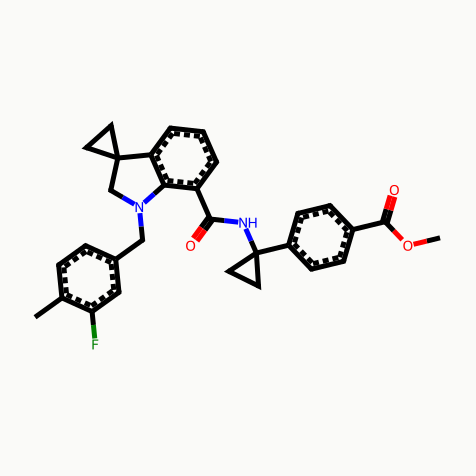 COC(=O)c1ccc(C2(NC(=O)c3cccc4c3N(Cc3ccc(C)c(F)c3)CC43CC3)CC2)cc1